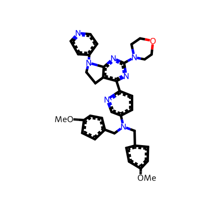 COc1ccc(CN(Cc2ccc(OC)cc2)c2ccc(-c3nc(N4CCOCC4)nc4c3CCN4c3ccncc3)nc2)cc1